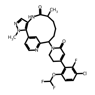 CC1CCCC(N2CCC(c3c(OC(F)F)ccc(Cl)c3F)=CC2=O)c2cc(ccn2)-c2c(cnn2C)NC1=O